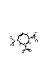 O=[N+]([O-])N1/C=C\CN([N+](=O)[O-])CN([N+](=O)[O-])C1